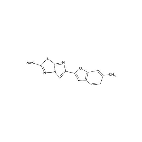 CSc1nn2cc(-c3cc4ccc(C)cc4o3)nc2s1